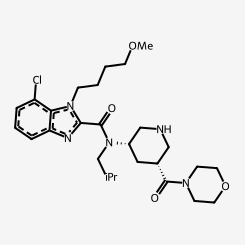 COCCCCn1c(C(=O)N(CC(C)C)[C@@H]2CNC[C@H](C(=O)N3CCOCC3)C2)nc2cccc(Cl)c21